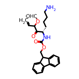 C=CC(O[C]=O)C(=O)[C@H](CCCCN)NC(=O)OCC1c2ccccc2-c2ccccc21